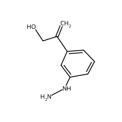 C=C(CO)c1cccc(NN)c1